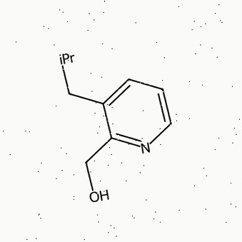 CC(C)Cc1cccnc1CO